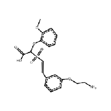 COc1ccccc1OC(C(=O)O)S(=O)(=O)C=Cc1cccc(OCCN)c1